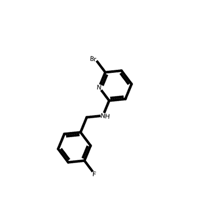 Fc1cccc(CNc2cccc(Br)n2)c1